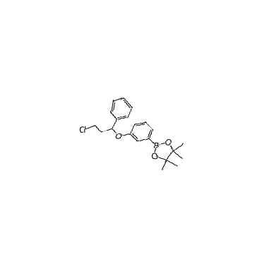 CC1(C)OB(c2cccc(OC(CCCl)c3ccccc3)c2)OC1(C)C